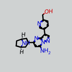 Nc1cc(C2C[C@H]3CC[C@@H](C2)N3)nc2c(-c3ccc(CO)nc3)cnn12